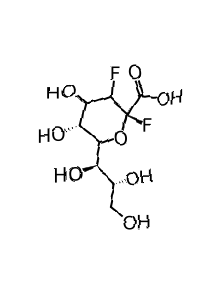 O=C(O)[C@]1(F)OC([C@H](O)[C@H](O)CO)[C@H](O)C(O)C1F